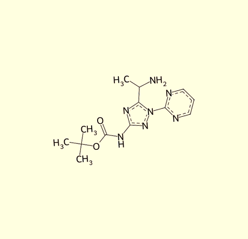 CC(N)c1nc(NC(=O)OC(C)(C)C)nn1-c1ncccn1